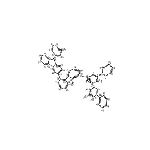 C1=CCC(C2=CC(c3cccc4c3sc3cccc(-c5ccc6c(c5)c5ccccc5n6-c5ccccc5)c34)=NC(c3cccc(-c4ccccc4)c3)N2)C=C1